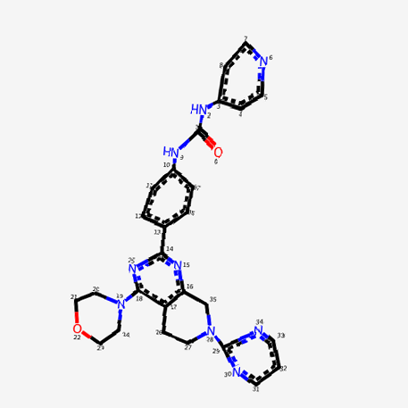 O=C(Nc1ccncc1)Nc1ccc(-c2nc3c(c(N4CCOCC4)n2)CCN(c2ncccn2)C3)cc1